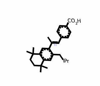 C/C(=C\c1ccc(C(=O)O)cc1)c1cc2c(cc1CC(C)C)C(C)(C)CCC2(C)C